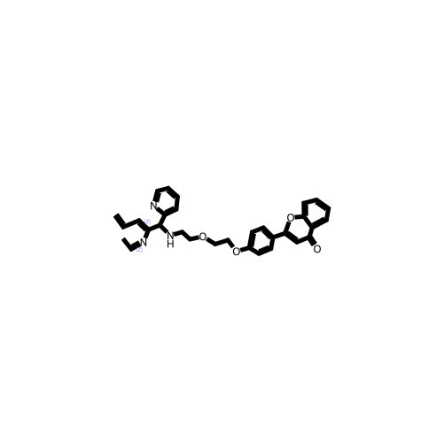 C=C/C=C(\N=C/C)C(NCCOCCOc1ccc(-c2cc(=O)c3ccccc3o2)cc1)c1ccccn1